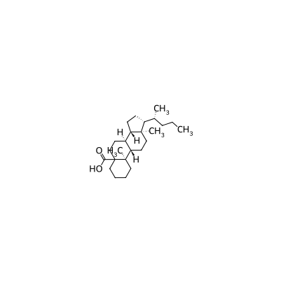 CCC[C@@H](C)[C@H]1CC[C@H]2[C@@H]3CCC4(C(=O)O)CCCC[C@]4(C)[C@H]3CC[C@]12C